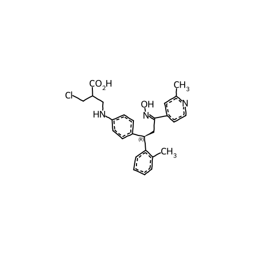 Cc1cc(C(C[C@H](c2ccc(NCC(CCl)C(=O)O)cc2)c2ccccc2C)=NO)ccn1